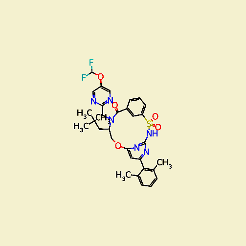 Cc1cccc(C)c1-c1cc2nc(n1)NS(=O)(=O)c1cccc(c1)C(=O)N(Cc1ncc(OC(F)F)cn1)[C@H](CC(C)(C)C)CO2